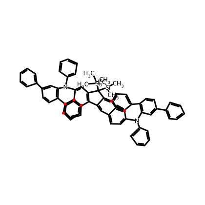 C[Si](C)(C)C1([Si](C)(C)C)c2cc3cc(N(c4ccccc4)c4cc(-c5ccccc5)ccc4-c4ccccc4)ccc3cc2-c2c1cc(N(c1ccccc1)c1cc(-c3ccccc3)ccc1-c1ccccc1)c1ccccc21